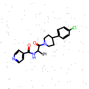 CC(C)C(NC(=O)c1ccncc1)C(=O)N1CCC(c2ccc(Cl)cc2)CC1